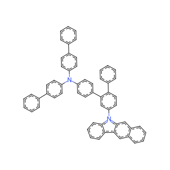 c1ccc(-c2ccc(N(c3ccc(-c4ccccc4)cc3)c3ccc(-c4cc(-n5c6ccccc6c6cc7ccccc7cc65)ccc4-c4ccccc4)cc3)cc2)cc1